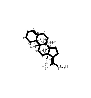 CC(C(=O)O)=C1CC[C@H]2[C@@H]3CCC4=CCCC[C@]4(C)[C@H]3CC[C@]12C